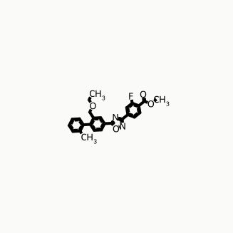 CCOCc1cc(-c2nc(-c3ccc(C(=O)OC)c(F)c3)no2)ccc1-c1ccccc1C